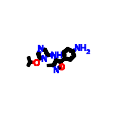 Cc1noc(-c2ccc(N)cc2)c1Nc1cncc(OC(C)C)n1